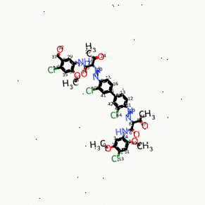 COc1cc(NC(=O)C(/N=N/c2ccc(-c3ccc(/N=N/C(C(C)=O)C(=O)Nc4cc(C=O)c(Cl)cc4OC)c(Cl)c3)cc2Cl)C(C)=O)c(OC)cc1Cl